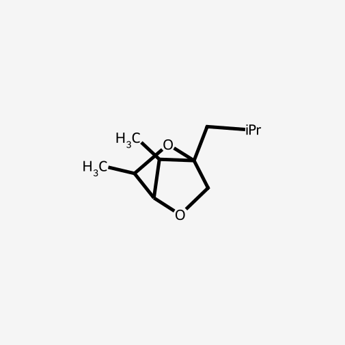 CC(C)CC12COC(C(C)O1)C2C